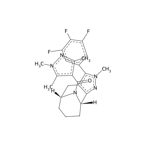 Cc1nn(C)c(C)c1C(=O)N1[C@@H]2CCC[C@H]1c1nn(C)c(-c3cc(F)c(F)c(F)c3)c1C2